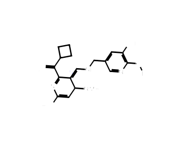 C=C(C1=NC(C)=CC(NC)/C1=C\NCc1cnc(OCC)c(C)c1)C1CCC1